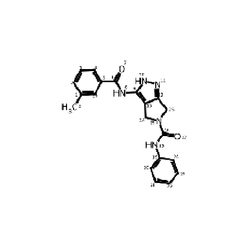 Cc1cccc(C(=O)Nc2[nH]nc3c2CN(C(=O)Nc2ccccc2)C3)c1